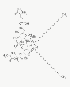 CCCCCCCCCCCCCCCC(=O)C(O[C@H]1[C@H](OC(C)CN(C2O[C@H](CO)[C@@H](O)[C@H](O)[C@H]2NC(C)=O)[C@@H](C)C(=O)O)[C@@H](NC(C)=O)[C@@H](O)O[C@@H]1CO)(C(=O)CCCCCCCCCCCCCCC)C(O)CO.C[C@H](N)C(=O)O.NC(=O)[C@H](N)CCC(=O)O